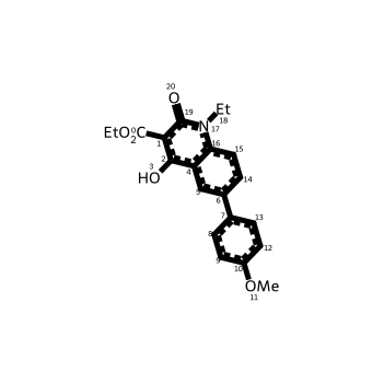 CCOC(=O)c1c(O)c2cc(-c3ccc(OC)cc3)ccc2n(CC)c1=O